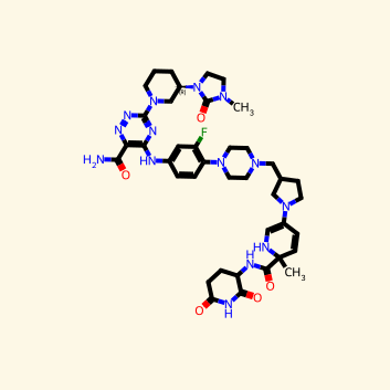 CN1CCN([C@@H]2CCCN(c3nnc(C(N)=O)c(Nc4ccc(N5CCN(CC6CCN(C7=CNC(C)(C(=O)NC8CCC(=O)NC8=O)C=C7)C6)CC5)c(F)c4)n3)C2)C1=O